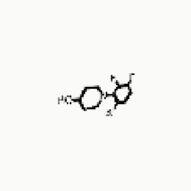 OC1CCN(c2c(Br)ccc(F)c2F)CC1